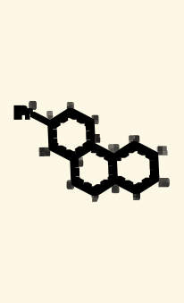 CC(C)c1ccc2c(ccc3ccccc32)c1